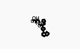 O=C(O)c1ccc(NC(=O)C(CC2CCCC2)c2ccc(-c3cccc4ccccc34)cc2)nc1